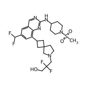 CS(=O)(=O)N1CCC(Nc2ncc3cc(C(F)F)cc(C4CC5(CCN(CC(F)(F)CO)C5)C4)c3n2)CC1